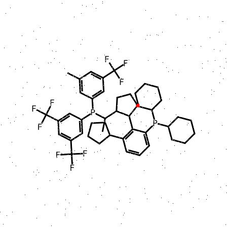 Cc1cc(P(c2cc(C(F)(F)F)cc(C(F)(F)F)c2)C(C)C2CCCC2c2c(C3CCCC3)cccc2P(C2CCCCC2)C2CCCCC2)cc(C(F)(F)F)c1